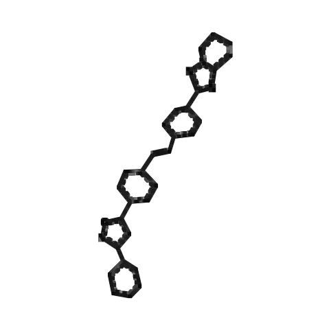 C(=Cc1ccc(-c2cc(-c3ccccc3)no2)cc1)c1ccc(-c2nc3ccccn3n2)cc1